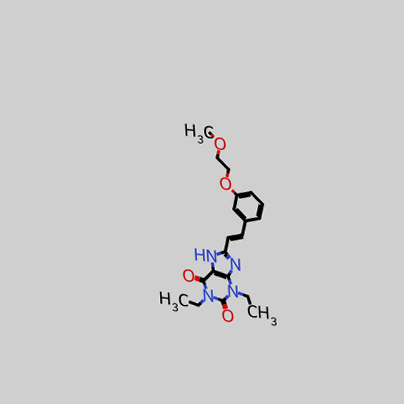 CCn1c(=O)c2[nH]c(C=Cc3cccc(OCCOC)c3)nc2n(CC)c1=O